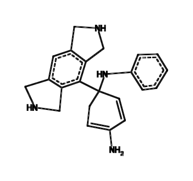 NC1=CCC(Nc2ccccc2)(c2c3c(cc4c2CNC4)CNC3)C=C1